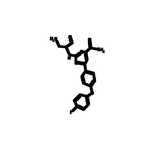 NCC(C=O)Nc1nc(C(N)=O)cc(-c2ccc(Oc3ccc(F)cc3)cc2)n1